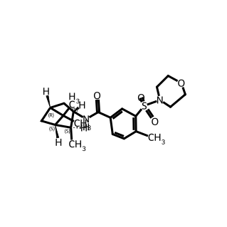 Cc1ccc(C(=O)N[C@H]2C[C@H]3C[C@@H]([C@@H]2C)C3(C)C)cc1S(=O)(=O)N1CCOCC1